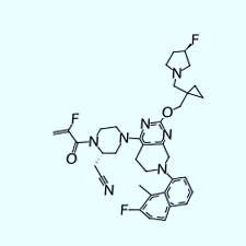 C=C(F)C(=O)N1CCN(c2nc(OCC3(CN4CC[C@@H](F)C4)CC3)nc3c2CCN(c2cccc4ccc(F)c(C)c24)C3)C[C@@H]1CC#N